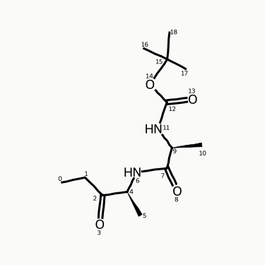 CCC(=O)[C@H](C)NC(=O)[C@H](C)NC(=O)OC(C)(C)C